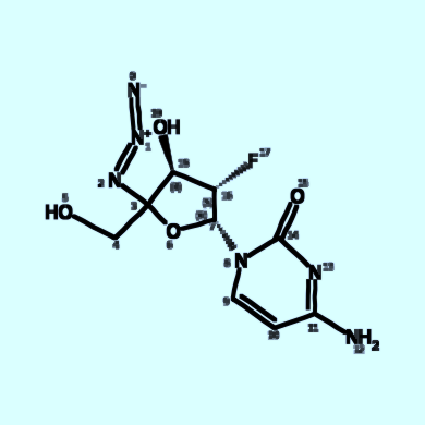 [N-]=[N+]=NC1(CO)O[C@@H](n2ccc(N)nc2=O)[C@@H](F)[C@@H]1O